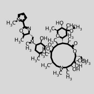 CC[C@H]1OC(=O)[C@H](C)[C@@H](C2C[C@@](C)(OC)[C@@H](O)[C@H](C)O2)[C@H](C)[C@@H](O[C@@H]2O[C@H](C)C[C@H](N(C)C[C@H]3N=C(c4cccn4C)OC3C)[C@H]2O)[C@](C)(O)C[C@@H](C)CN(C)[C@H](C)[C@@H](O)[C@]1(C)O